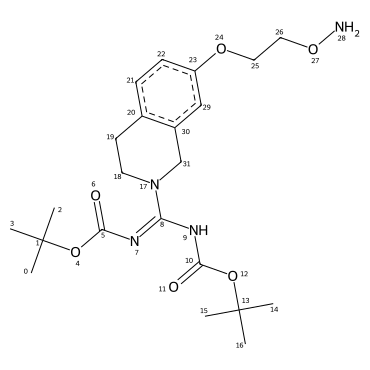 CC(C)(C)OC(=O)/N=C(/NC(=O)OC(C)(C)C)N1CCc2ccc(OCCON)cc2C1